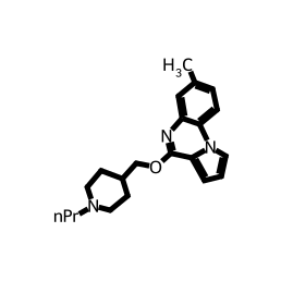 CCCN1CCC(COc2nc3cc(C)ccc3n3cccc23)CC1